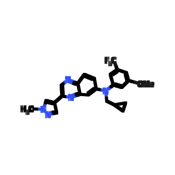 COc1cc(N(CC2CC2)c2ccc3ncc(-c4cnn(C)c4)nc3c2)cc(C(F)(F)F)c1